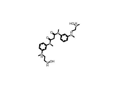 CN(C(=O)CC(=O)N(C)c1cccc([SiH](C)CC[SiH](C)O)c1)c1cccc([SiH](C)CC[SiH](C)O)c1